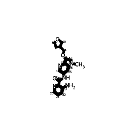 Cn1nc(OCC2CCOC2)c2ncc(NC(=O)c3ncccc3N)cc21